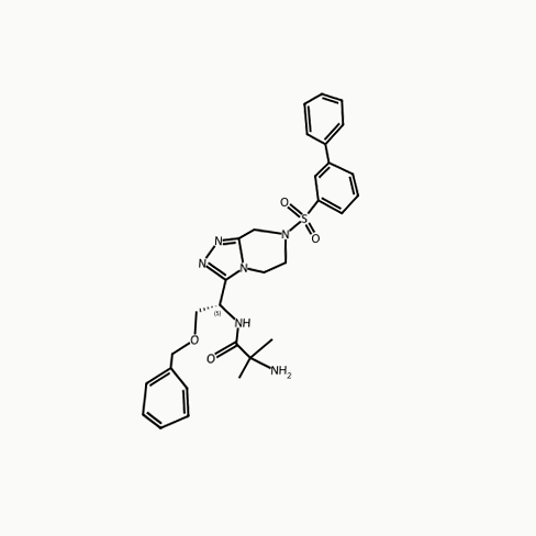 CC(C)(N)C(=O)N[C@H](COCc1ccccc1)c1nnc2n1CCN(S(=O)(=O)c1cccc(-c3ccccc3)c1)C2